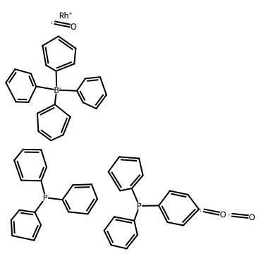 [C]=O.[C]=O.[C]=O.[Rh+].c1ccc(P(c2ccccc2)c2ccccc2)cc1.c1ccc(P(c2ccccc2)c2ccccc2)cc1.c1ccc([B-](c2ccccc2)(c2ccccc2)c2ccccc2)cc1